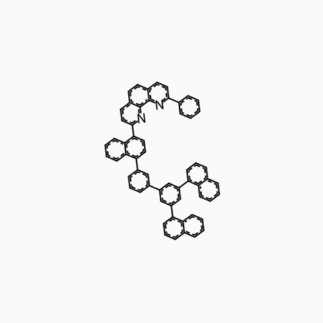 c1ccc(-c2ccc3ccc4ccc(-c5ccc(-c6cccc(-c7cc(-c8cccc9ccccc89)cc(-c8cccc9ccccc89)c7)c6)c6ccccc56)nc4c3n2)cc1